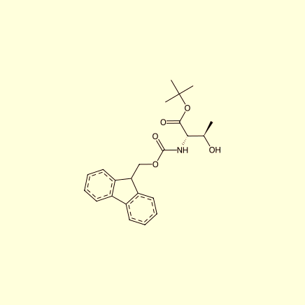 C[C@@H](O)[C@H](NC(=O)OCC1c2ccccc2-c2ccccc21)C(=O)OC(C)(C)C